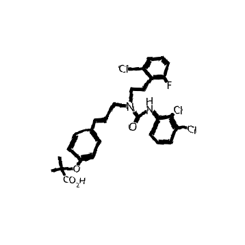 CC(C)(Oc1ccc(C=CCN(CCc2c(F)cccc2Cl)C(=O)Nc2cccc(Cl)c2Cl)cc1)C(=O)O